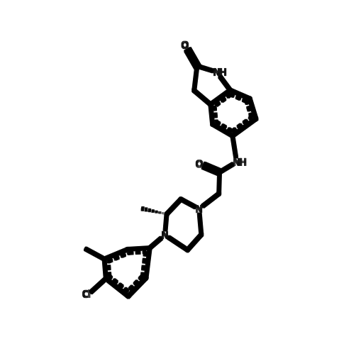 Cc1cc(N2CCN(CC(=O)Nc3ccc4c(c3)CC(=O)N4)C[C@H]2C)ccc1Cl